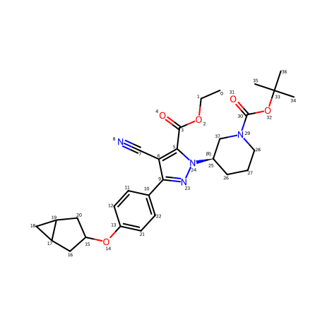 CCOC(=O)c1c(C#N)c(-c2ccc(OC3CC4CC4C3)cc2)nn1[C@@H]1CCCN(C(=O)OC(C)(C)C)C1